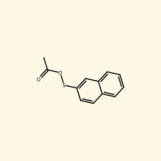 CC(=O)OSc1ccc2ccccc2c1